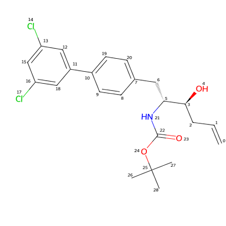 C=CC[C@H](O)[C@@H](Cc1ccc(-c2cc(Cl)cc(Cl)c2)cc1)NC(=O)OC(C)(C)C